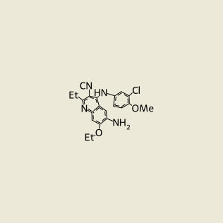 CCOc1cc2nc(CC)c(C#N)c(Nc3ccc(OC)c(Cl)c3)c2cc1N